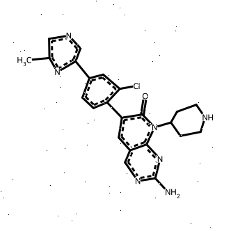 Cc1cncc(-c2ccc(-c3cc4cnc(N)nc4n(C4CCNCC4)c3=O)c(Cl)c2)n1